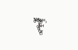 CCNC(=O)c1cnc(C(N)=O)c(C23CC(NC(=O)COc4ccc(Cl)c(F)c4)(C2)C3)c1